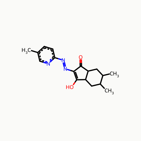 Cc1ccc(N=NC2=C(O)C3CC(C)C(C)CC3C2=O)nc1